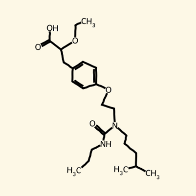 CCCNC(=O)N(CCCC(C)C)CCOc1ccc(CC(OCC)C(=O)O)cc1